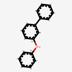 [c]1ccccc1-c1cccc(Oc2ccccc2)c1